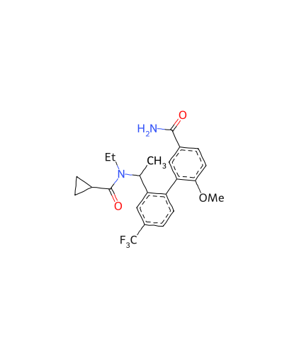 CCN(C(=O)C1CC1)C(C)c1cc(C(F)(F)F)ccc1-c1cc(C(N)=O)ccc1OC